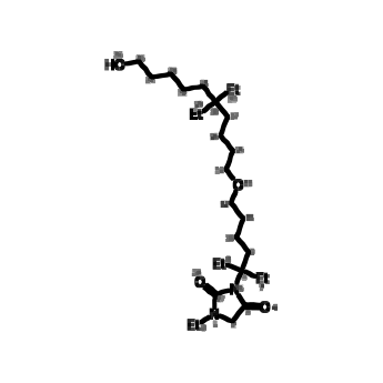 CCN1CC(=O)N(C(CC)(CC)CCCCOCCCCC(CC)(CC)CCCCCO)C1=O